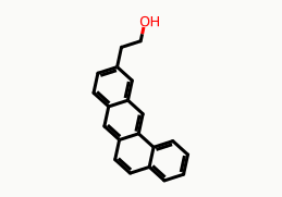 OCCc1ccc2cc3ccc4ccccc4c3cc2c1